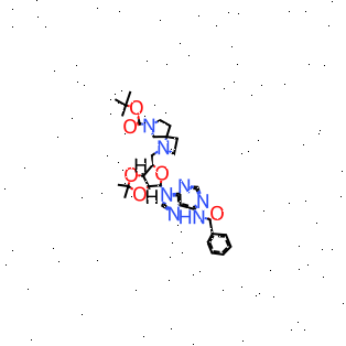 CC(C)(C)OC(=O)N1CCC2(CCN2C[C@H]2O[C@@H](n3cnc4c(NC(=O)c5ccccc5)ncnc43)[C@@H]3OC(C)(C)O[C@@H]32)C1